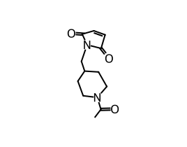 CC(=O)N1CCC(CN2C(=O)C=CC2=O)CC1